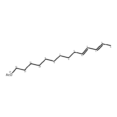 CC=CC=CCCCCCCCCCOC(C)=O